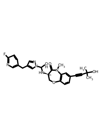 CN1C(=O)[C@H](NC(O)n2cc(Cc3ccc(F)nc3)cn2)COc2ccc(C#CC(C)(C)O)cc21